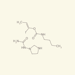 CC=C(I)OC(=O)NCCCC.NC(=O)NN1CCNC1